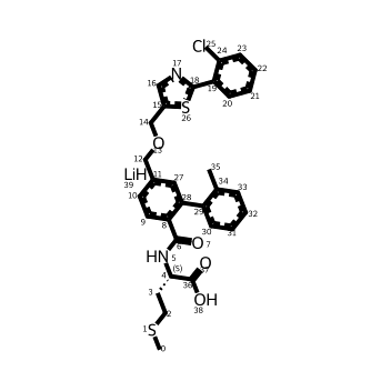 CSCC[C@H](NC(=O)c1ccc(COCc2cnc(-c3ccccc3Cl)s2)cc1-c1ccccc1C)C(=O)O.[LiH]